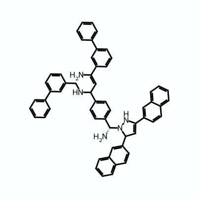 N/C(=C\C(NCc1cccc(-c2ccccc2)c1)c1ccc([C@@H](N)N2NC(c3ccc4ccccc4c3)=CC2c2ccc3ccccc3c2)cc1)c1cccc(-c2ccccc2)c1